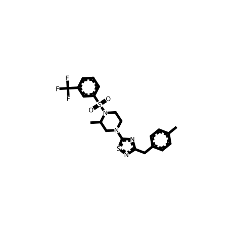 Cc1ccc(Cc2nsc(N3CCN(S(=O)(=O)c4cccc(C(F)(F)F)c4)C(C)C3)n2)cc1